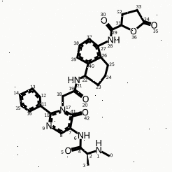 CN[C@@H](C)C(=O)Nc1cnc(-c2ccccc2)n(CC(=O)NC2CCCc3c(NC(=O)C4CCC(=O)O4)cccc32)c1=O